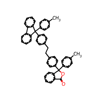 Cc1ccc(C2(c3ccc(CCc4ccc(C5(c6ccc(C)cc6)c6ccccc6-c6ccccc65)cc4)cc3)OC(=O)c3ccccc32)cc1